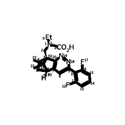 CCN(C[C@@]12CC[C@@H](c3cc(-c4c(F)cccc4F)nnc31)C2(C)C)C(=O)O